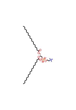 CCCCCCCCCCCCCCCCCC(=O)OC[C@H](COP(=O)([O-])OCC[N+](C)(C)C)OC(=O)CCCCCCCCCCCCCCCCC